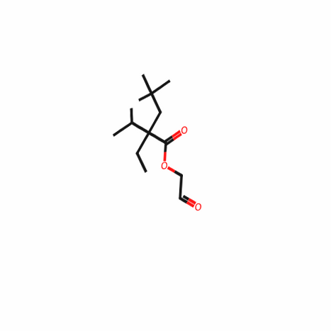 CCC(CC(C)(C)C)(C(=O)OCC=O)C(C)C